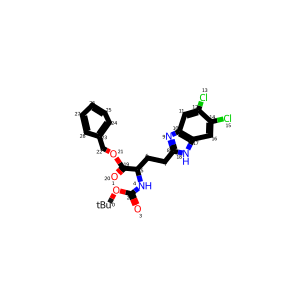 CC(C)(C)OC(=O)NC(CCc1nc2cc(Cl)c(Cl)cc2[nH]1)C(=O)OCc1ccccc1